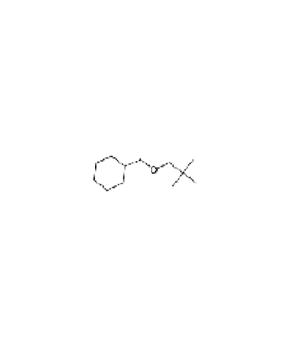 CC(C)(C)COCC1CCCCC1